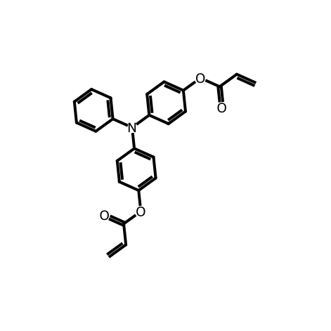 C=CC(=O)Oc1ccc(N(c2ccccc2)c2ccc(OC(=O)C=C)cc2)cc1